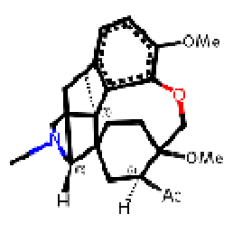 COc1ccc2c3c1OCC1(OC)CCC4(C[C@@H]1C(C)=O)[C@@H](C2)N(C)CC[C@@]34C